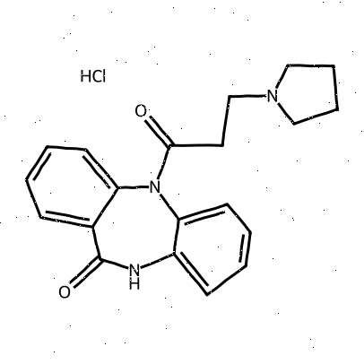 Cl.O=C1Nc2ccccc2N(C(=O)CCN2CCCC2)c2ccccc21